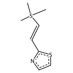 CS(C)(C)/C=C/c1nccs1